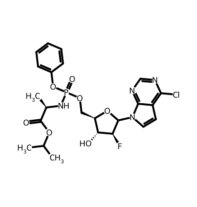 CC(C)OC(=O)[C@@H](C)NP(=O)(OC[C@H]1OC(n2ccc3c(Cl)ncnc32)[C@@H](F)[C@@H]1O)Oc1ccccc1